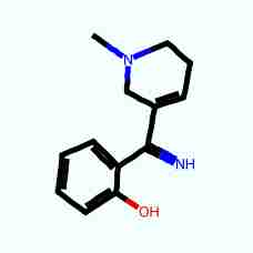 CN1CCC=C(C(=N)c2ccccc2O)C1